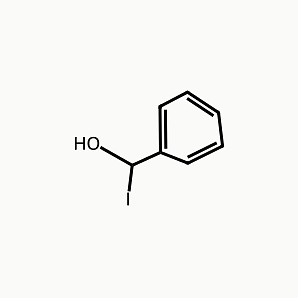 OC(I)c1ccccc1